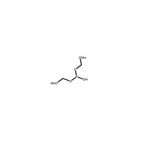 COCOP(O)OCOC